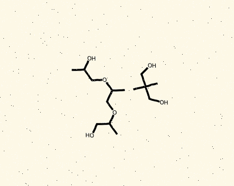 CC(C)(CO)CO.CC(O)COC(C)COC(C)CO